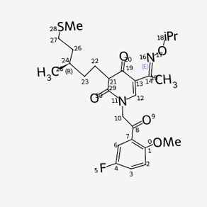 COc1ccc(F)cc1C(=O)CN1C=C(/C(C)=N/OC(C)C)C(=O)C(CC[C@@H](C)CCSC)C1=O